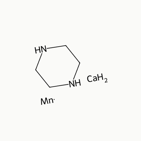 C1CNCCN1.[CaH2].[Mn]